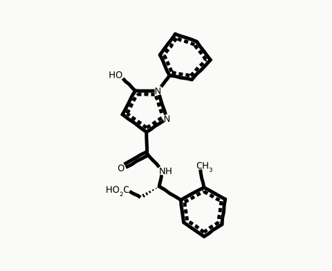 Cc1ccccc1[C@H](CC(=O)O)NC(=O)c1cc(O)n(-c2ccccc2)n1